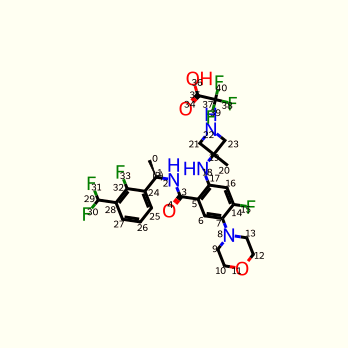 C[C@@H](NC(=O)c1cc(N2CCOCC2)c(F)cc1NC1(C)CNC1)c1cccc(C(F)F)c1F.O=C(O)C(F)(F)F